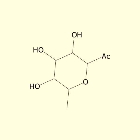 CC(=O)C1OC(C)C(O)C(O)C1O